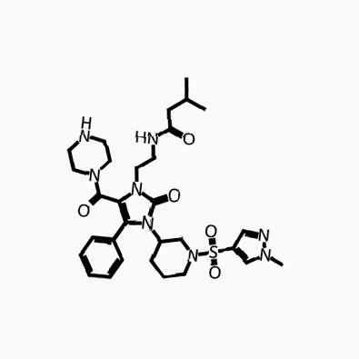 CC(C)CC(=O)NCCn1c(C(=O)N2CCNCC2)c(-c2ccccc2)n(C2CCCN(S(=O)(=O)c3cnn(C)c3)C2)c1=O